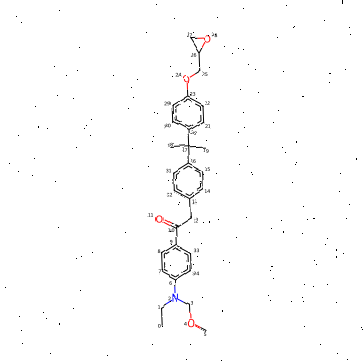 CCN(COC)c1ccc(C(=O)Cc2ccc(C(C)(C)c3ccc(OCC4CO4)cc3)cc2)cc1